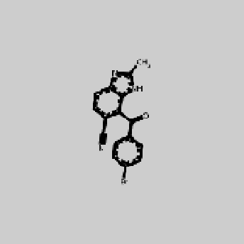 Cc1nc2ccc(C#N)c(C(=O)c3ccc(Br)cc3)c2[nH]1